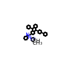 C#C/C=C(\C=C/C)n1c(-c2ccc3c(-c4ccc(-c5ccccc5)cc4)c4ccccc4c(-c4ccccc4)c3c2)nc2ccccc21